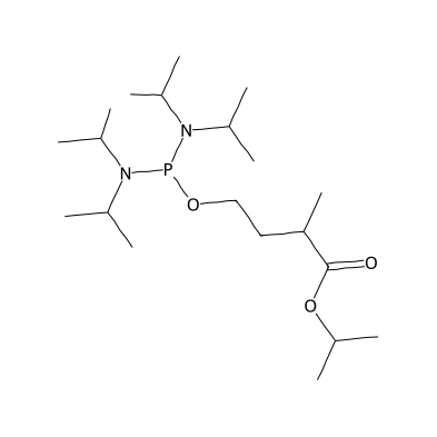 CC(C)OC(=O)C(C)CCOP(N(C(C)C)C(C)C)N(C(C)C)C(C)C